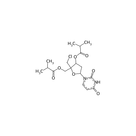 CC(C)C(=O)OCC1(CCl)OC(n2ccc(=O)[nH]c2=O)CC1OC(=O)C(C)C